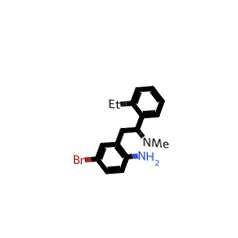 CCc1ccccc1C(Cc1cc(Br)ccc1N)NC